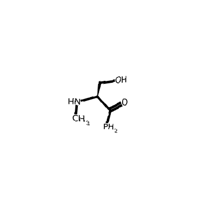 CN[C@@H](CO)C(=O)P